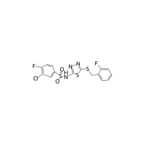 O=S(=O)(Nc1nnc(SCc2ccccc2F)s1)c1ccc(F)c(Cl)c1